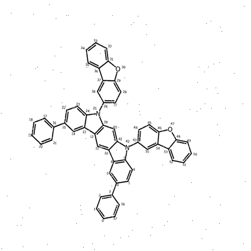 c1ccc(-c2ccc3c(c2)c2cc4c5cc(-c6ccccc6)ccc5n(-c5ccc6oc7ccccc7c6c5)c4cc2n3-c2ccc3oc4ccccc4c3c2)cc1